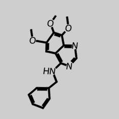 COc1cc2c(NCc3ccccc3)ncnc2c(OC)c1OC